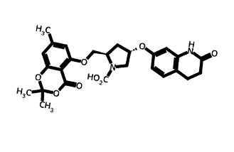 Cc1cc(OC[C@H]2C[C@H](Oc3ccc4c(c3)NC(=O)CC4)CN2C(=O)O)c2c(c1)OC(C)(C)OC2=O